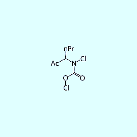 CCCC(C(C)=O)N(Cl)C(=O)OCl